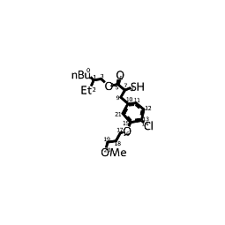 CCCCC(CC)COC(=O)C(S)Cc1ccc(Cl)c(OCCCOC)c1